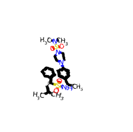 CC(C)C[C@H](c1ccccc1)S(=O)(=O)NC(C)c1ccc(N2CCN(S(=O)(=O)N(C)C)CC2)cc1